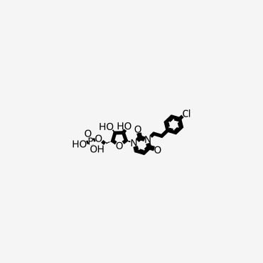 O=c1ccn([C@@H]2O[C@H](COP(=O)(O)O)[C@H](O)C2O)c(=O)n1CCc1ccc(Cl)cc1